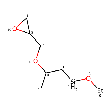 CCO[SiH2]CC(C)OCC1CO1